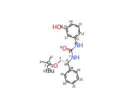 CC(C)(C)[Si](C)(C)OC[C@H](NC(=O)Nc1cccc(O)c1)c1ccccc1